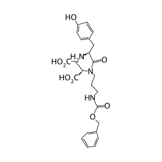 N[C@@H](Cc1ccc(O)cc1)C(=O)N(CCCNC(=O)OCc1ccccc1)[C@H](CC(=O)O)C(=O)O